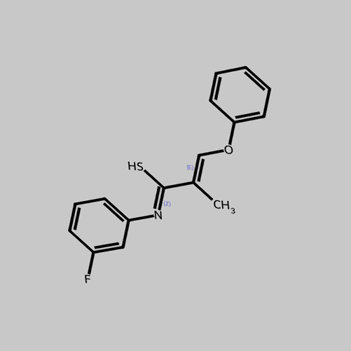 CC(=C\Oc1ccccc1)/C(S)=N/c1cccc(F)c1